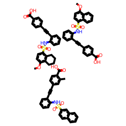 COc1ccc(S(=O)(=O)Nc2ccccc2C#Cc2ccc(C(=O)O)cc2)c2c1CCCC2.COc1ccc(S(=O)(=O)Nc2ccccc2C#Cc2ccc(C(=O)O)cc2)c2ccccc12.Cc1cc(C#Cc2ccccc2NS(=O)(=O)c2ccc3ccccc3c2)ccc1C(=O)O